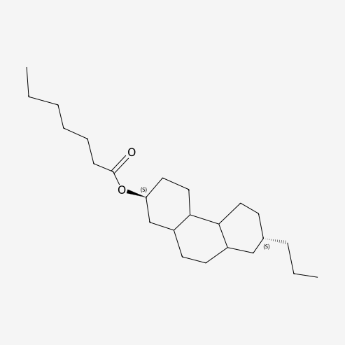 CCCCCCC(=O)O[C@H]1CCC2C(CCC3C[C@@H](CCC)CCC32)C1